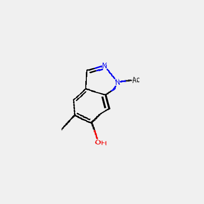 CC(=O)n1ncc2cc(C)c(O)cc21